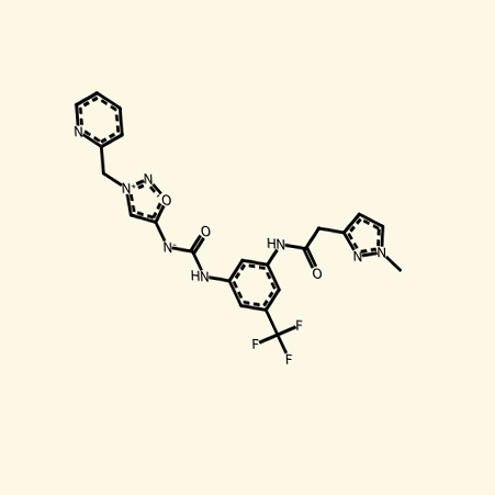 Cn1ccc(CC(=O)Nc2cc(NC(=O)[N-]c3c[n+](Cc4ccccn4)no3)cc(C(F)(F)F)c2)n1